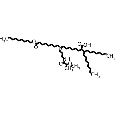 CCCCCCCCCOC(=O)CCCCCCCN(CCCCCCC(C(=O)O)C(CCCCCCCC)CCCCCCCC)CCCNC(=O)C(C)OC